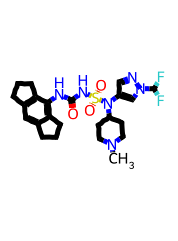 CN1CCC(N(c2cnn(C(F)F)c2)S(=O)(=O)NC(=O)Nc2c3c(cc4c2CCC4)CCC3)CC1